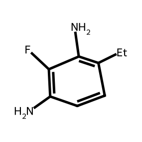 CCc1ccc(N)c(F)c1N